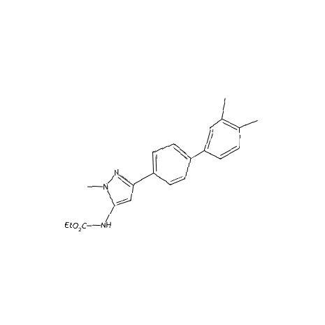 CCOC(=O)Nc1cc(-c2ccc(-c3ccc(C)c(C)c3)cc2)nn1C